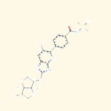 CS(C)(=O)=NC(=O)c1ccc(-c2nc3[nH]c(O[C@@H]4CO[C@H]5[C@@H]4OC[C@H]5O)nc3cc2Cl)cc1